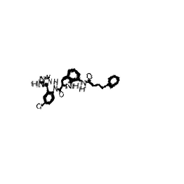 O=C(CCCc1ccccc1)Nc1cccc2cc(C(=O)Nc3ccc(Cl)cc3-c3nnn[nH]3)[nH]c12